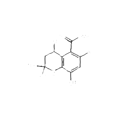 COC(=O)c1c(Br)cc(C)c2c1C(C)CC(C)(C)N2